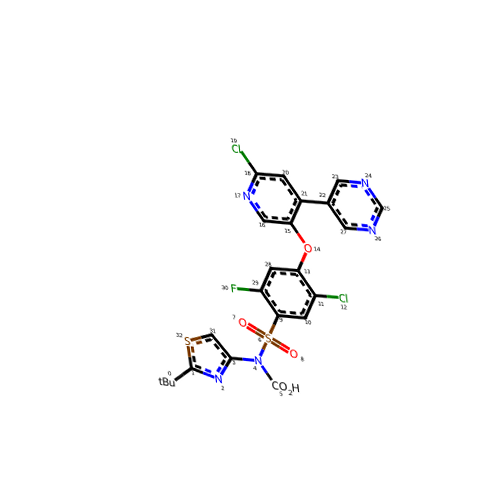 CC(C)(C)c1nc(N(C(=O)O)S(=O)(=O)c2cc(Cl)c(Oc3cnc(Cl)cc3-c3cncnc3)cc2F)cs1